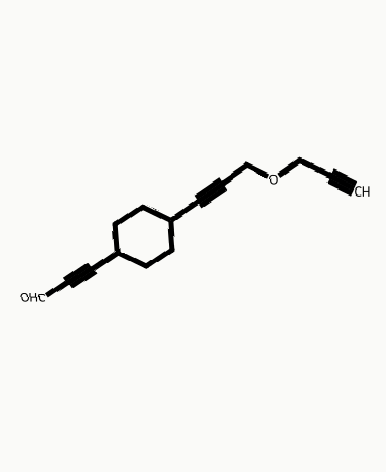 C#CCOCC#CC1CCC(C#CC=O)CC1